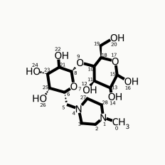 CN1CCN(C[C@H]2O[C@@H](OC3[C@H](O)C(O)C(O)O[C@@H]3CO)C(O)[C@@H](O)[C@H]2O)CC1